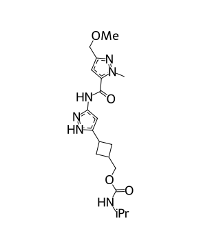 COCc1cc(C(=O)Nc2cc(C3CC(COC(=O)NC(C)C)C3)[nH]n2)n(C)n1